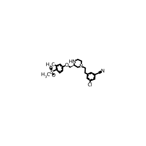 Cc1cc(OC[C@@H]2CN(CCc3cc(Cl)cc(C#N)c3)CCN2)ccc1S(C)(=O)=O